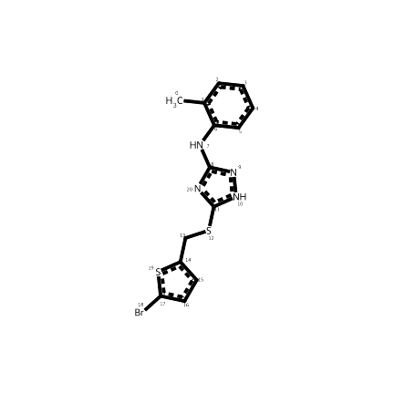 Cc1ccccc1Nc1n[nH]c(SCc2ccc(Br)s2)n1